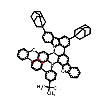 CC(C)(C)c1ccc(N2c3cc4c(cc3B3c5c(cc6c(oc7ccccc76)c52)-c2cc(C56CC7CC(CC(C7)C5)C6)cc5c6cc(C78CC9CC(CC(C9)C7)C8)ccc6n3c25)Oc2ccccc2O4)c(-c2ccccc2)c1